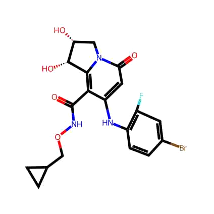 O=C(NOCC1CC1)c1c(Nc2ccc(Br)cc2F)cc(=O)n2c1[C@H](O)[C@H](O)C2